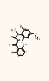 CN(C(=O)NC(=O)c1c(F)cccc1F)c1c(F)cc(SC(F)(F)F)cc1F